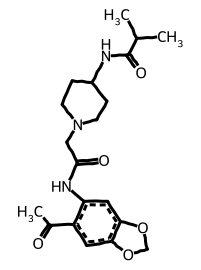 CC(=O)c1cc2c(cc1NC(=O)CN1CCC(NC(=O)C(C)C)CC1)OCO2